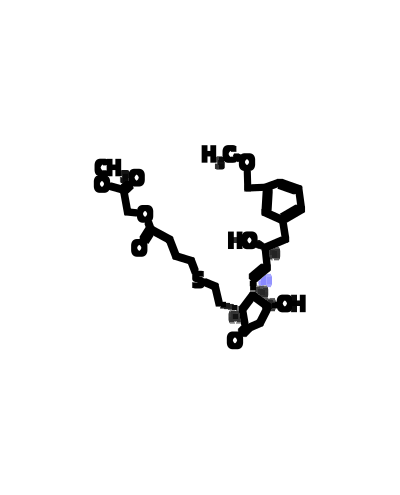 COCc1cccc(C[C@H](O)/C=C/[C@@H]2[C@H](O)CC(=O)[C@@H]2CCSCCCC(=O)OCC(=O)OC)c1